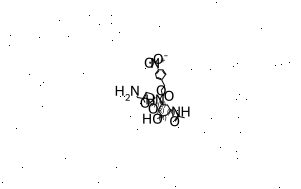 CC(=O)N[C@H]1C[C@@H](O)[C@H](O[C@@H]2CCC=C(CN)O2)[C@@H](NC(=O)OCc2ccc([N+](=O)[O-])cc2)C1